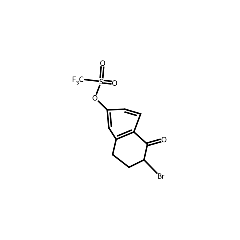 O=C1c2ccc(OS(=O)(=O)C(F)(F)F)cc2CCC1Br